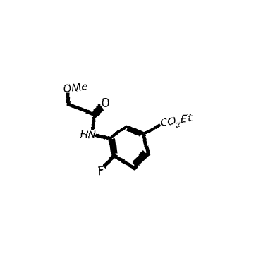 CCOC(=O)c1ccc(F)c(NC(=O)COC)c1